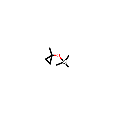 CC1(O[Si](C)(C)C)CC1